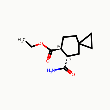 CCOC(=O)[C@H]1CCC2(CC2)C[C@@H]1C(N)=O